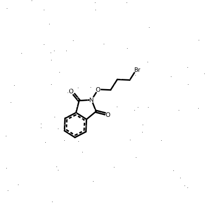 O=C1c2ccccc2C(=O)N1OCCCBr